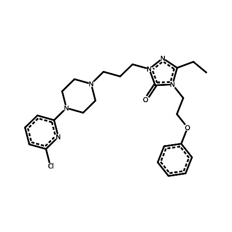 CCc1nn(CCCN2CCN(c3cccc(Cl)n3)CC2)c(=O)n1CCOc1ccccc1